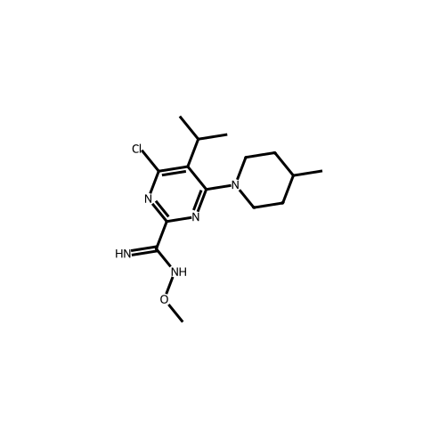 CONC(=N)c1nc(Cl)c(C(C)C)c(N2CCC(C)CC2)n1